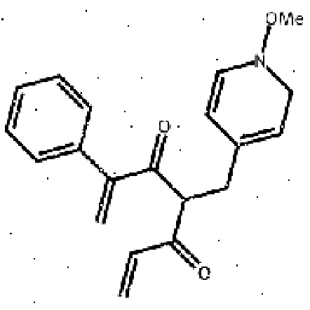 C=CC(=O)C(CC1=CCN(OC)C=C1)C(=O)C(=C)c1ccccc1